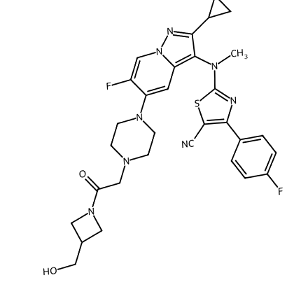 CN(c1nc(-c2ccc(F)cc2)c(C#N)s1)c1c(C2CC2)nn2cc(F)c(N3CCN(CC(=O)N4CC(CO)C4)CC3)cc12